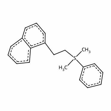 CS(C)(CCc1cccc2ccccc12)c1ccccc1